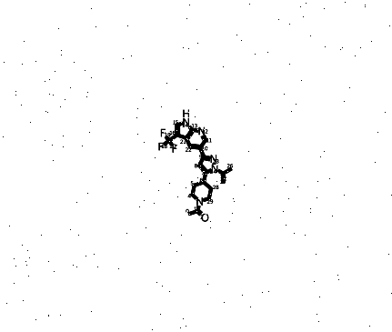 CC(=O)N1CCC(c2cc(-c3cnc4[nH]cc(C(F)(F)F)c4c3)nn2C(C)C)CC1